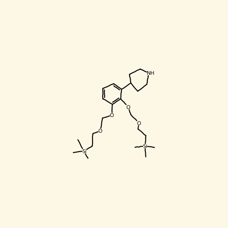 C[Si](C)(C)CCOCOc1cccc(C2CCNCC2)c1OCOCC[Si](C)(C)C